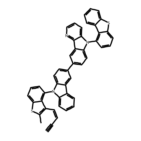 C#C/C=C\c1c(C)sc2cccc(-n3c4ccccc4c4cc(-c5ccc6c(c5)c5ncccc5n6-c5cccc6sc7ccccc7c56)ccc43)c12